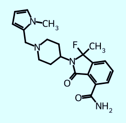 Cn1cccc1CN1CCC(N2C(=O)c3c(C(N)=O)cccc3C2(C)F)CC1